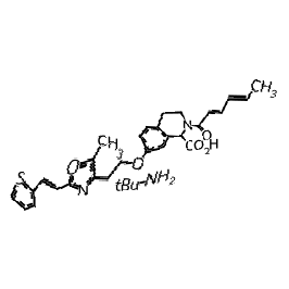 CC(C)(C)N.CC=CC=CC(=O)N1CCc2ccc(OCCc3nc(/C=C/c4cccs4)oc3C)cc2C1C(=O)O